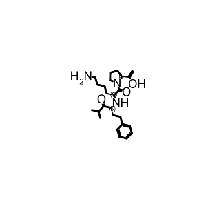 C=C(O)[C@@H]1CCCN1C(=O)[C@H](CCCCN)N[C@@H](CCc1ccccc1)C(=O)C(C)C